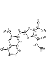 COc1cc2c(Cl)ncnc2cc1O[C@H]1C[C@@H](C(=O)C(C)C)N(C(=O)OC(C)(C)C)C1